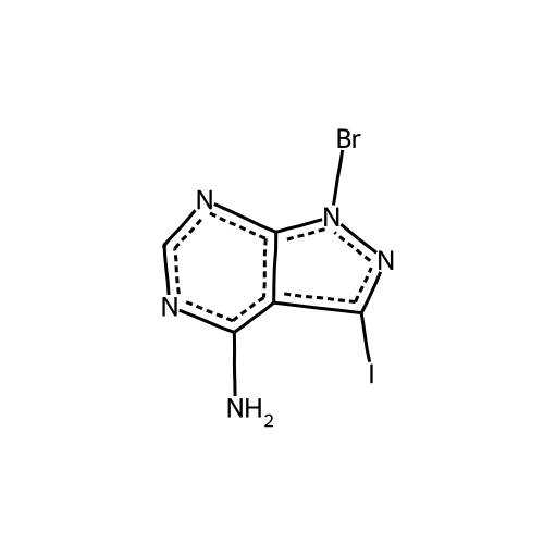 Nc1ncnc2c1c(I)nn2Br